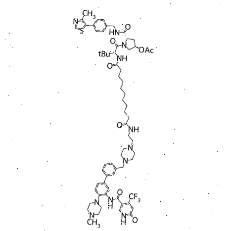 CC(=O)O[C@@H]1C[C@@H](C(=O)NCc2ccc(-c3scnc3C)cc2)N(C(=O)C(NC(=O)CCCCCCCCCC(=O)NCCN2CCN(Cc3cccc(-c4ccc(N5CCN(C)CC5)c(NC(=O)c5c[nH]c(=O)cc5C(F)(F)F)c4)c3)CC2)C(C)(C)C)C1